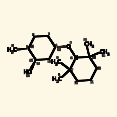 C[C@@H]1CC[C@H](ON2C(C)(C)CCCC2(C)C)C[C@H]1O